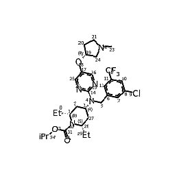 CC[C@@H]1C[C@H](N(Cc2cc(Cl)cc(C(F)(F)F)c2)c2ncc(O[C@@H]3CCN(C)C3)cn2)C[C@H](CC)N1C(=O)OC(C)C